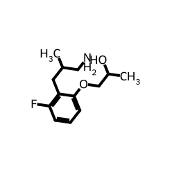 CC(O)COc1cccc(F)c1CC(C)CN